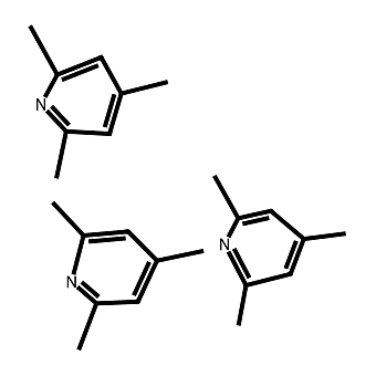 Cc1cc(C)nc(C)c1.Cc1cc(C)nc(C)c1.Cc1cc(C)nc(C)c1